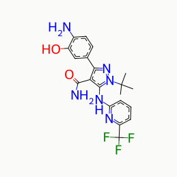 CC(C)(C)n1nc(-c2ccc(N)c(O)c2)c(C(N)=O)c1Nc1cccc(C(F)(F)F)n1